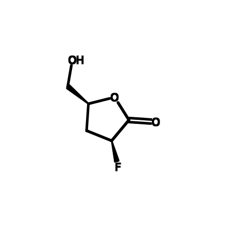 O=C1O[C@H](CO)C[C@@H]1F